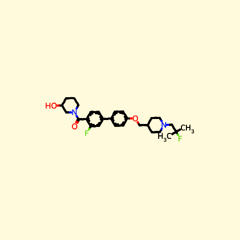 CC(C)(F)CN1CCC(COc2ccc(-c3ccc(C(=O)N4CCCC(O)C4)c(F)c3)cc2)CC1